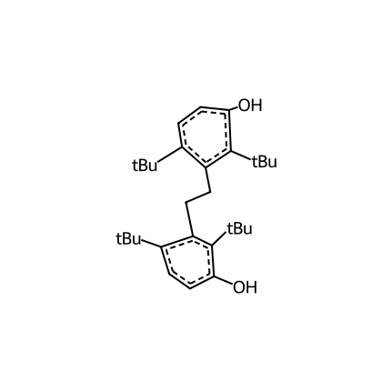 CC(C)(C)c1ccc(O)c(C(C)(C)C)c1CCc1c(C(C)(C)C)ccc(O)c1C(C)(C)C